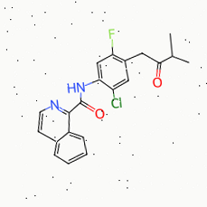 CC(C)C(=O)Cc1cc(Cl)c(NC(=O)c2nccc3ccccc23)cc1F